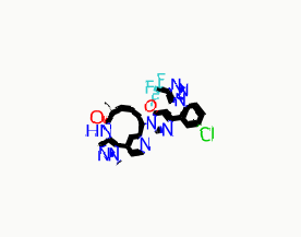 C[C@@H]1CCC[C@H](n2cnc(-c3cc(Cl)ccc3-n3cc(C(F)(F)F)nn3)cc2=O)c2cc(ccn2)-c2c(cnn2C)NC1=O